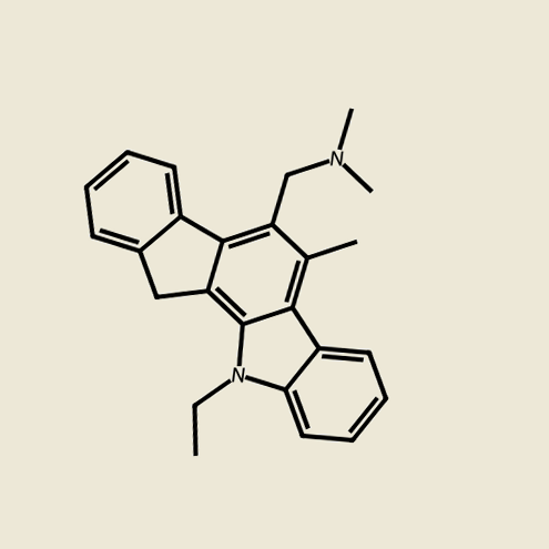 CCn1c2ccccc2c2c(C)c(CN(C)C)c3c(c21)Cc1ccccc1-3